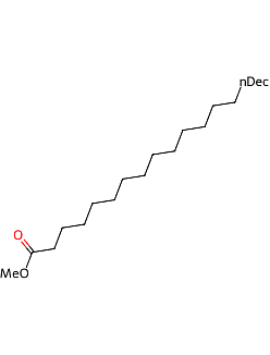 CCCCCCCCCCCCCCCCCCCCCCCC(=O)OC